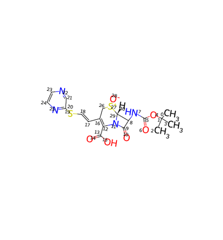 CC(C)(C)OC(=O)NC1C(=O)N2C(C(=O)O)=C(/C=C/Sc3cnccn3)C[S+]([O-])[C@H]12